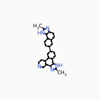 Cc1nc2ccc3cc(-c4ccc5c(c4)c4ccncc4c4nc(C)[nH]c54)ccc3c2[nH]1